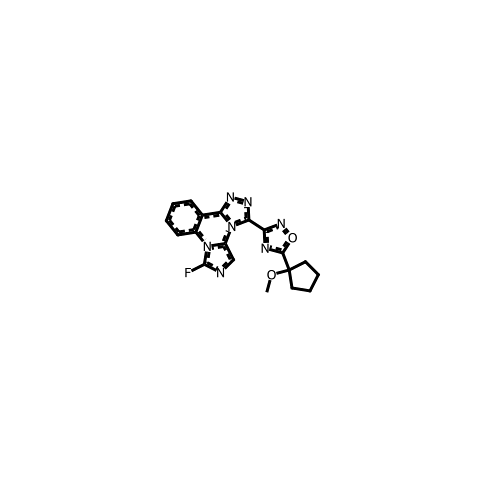 COC1(c2nc(-c3nnc4c5ccccc5n5c(F)ncc5n34)no2)CCCC1